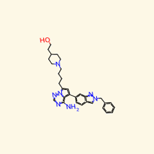 Nc1ncnn2c(CCCCN3CCC(CCO)CC3)cc(-c3ccc4cn(Cc5ccccc5)nc4c3)c12